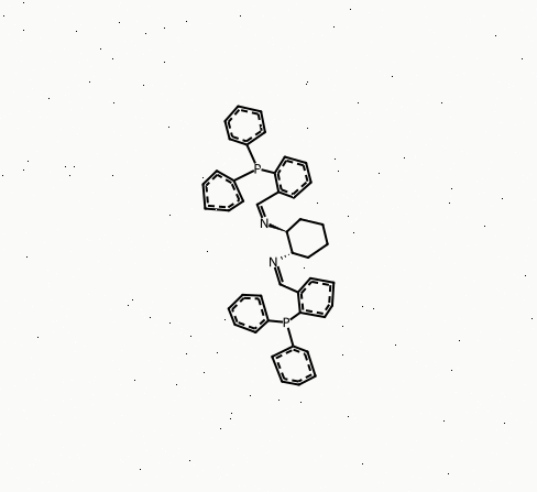 C(=N/[C@H]1CCCC[C@@H]1/N=C\c1ccccc1P(c1ccccc1)c1ccccc1)/c1ccccc1P(c1ccccc1)c1ccccc1